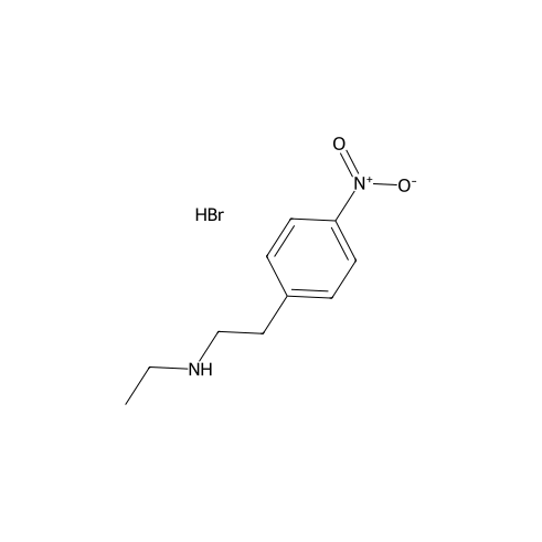 Br.CCNCCc1ccc([N+](=O)[O-])cc1